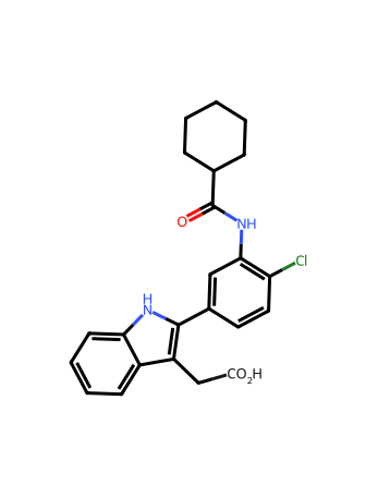 O=C(O)Cc1c(-c2ccc(Cl)c(NC(=O)C3CCCCC3)c2)[nH]c2ccccc12